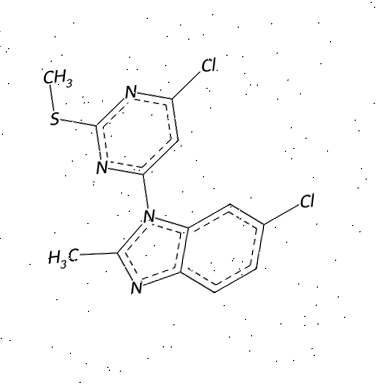 CSc1nc(Cl)cc(-n2c(C)nc3ccc(Cl)cc32)n1